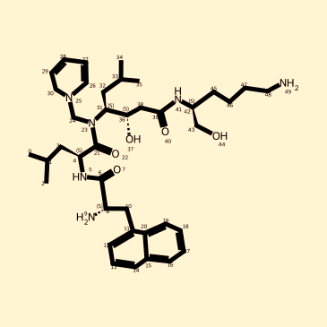 CC(C)C[C@H](NC(=O)[C@@H](N)Cc1cccc2ccccc12)C(=O)N(CN1C=CC=CC1)[C@@H](CC(C)C)[C@@H](O)CC(=O)N[C@H](CO)CCCCN